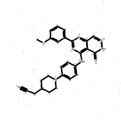 COc1cccc(-c2nc(Nc3ccc(N4CCC(CC#N)CC4)cc3)c3c(=O)[nH]ncc3n2)c1